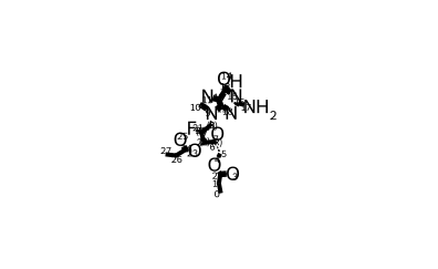 CCC(=O)OC[C@H]1O[C@@H](n2cnc3c(=O)[nH]c(N)nc32)[C@H](F)[C@@H]1OC(=O)CC